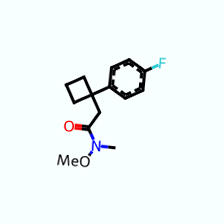 CON(C)C(=O)CC1(c2ccc(F)cc2)CCC1